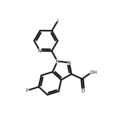 O=C(O)c1nn(-c2cc(I)ccn2)c2cc(F)ccc12